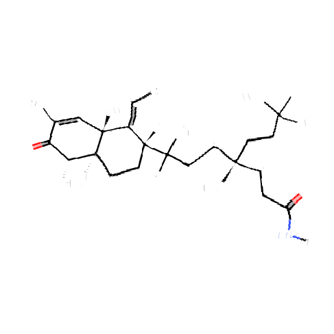 CCCC(C)(C)CC[C@](C)(CCC(=O)NCC)CCC(C)(C)[C@]1(C)CC[C@H]2[C@H](C)C(=O)C(C#N)=C[C@]2(C)/C1=C/C(C)=O